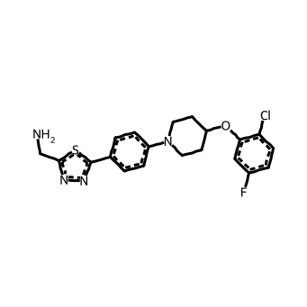 NCc1nnc(-c2ccc(N3CCC(Oc4cc(F)ccc4Cl)CC3)cc2)s1